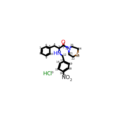 Cl.O=C(C(Cc1ccccc1)NCc1ccc([N+](=O)[O-])cc1)N1CCSCC1